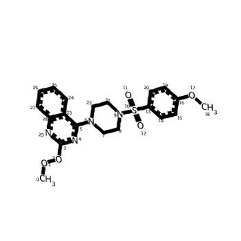 COOc1nc(N2CCN(S(=O)(=O)c3ccc(OC)cc3)CC2)c2ccccc2n1